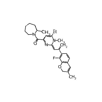 C=C(/C=C1/N=C(C(=O)N2CCCCCC2C)C=C(CC)N1C)c1ccc2c(c1F)OCC(C)=C2